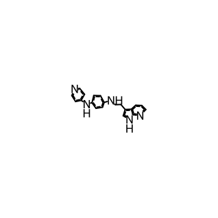 c1cnc2[nH]cc(CCNc3ccc(Nc4ccncc4)cc3)c2c1